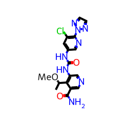 COC(C)c1c(NC(=O)Nc2cnc(-n3nccn3)c(Cl)c2)cncc1C(N)=O